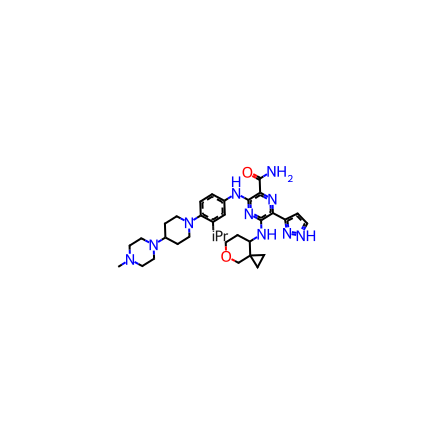 CC(C)c1cc(Nc2nc(NC3CCOCC34CC4)c(-c3cc[nH]n3)nc2C(N)=O)ccc1N1CCC(N2CCN(C)CC2)CC1